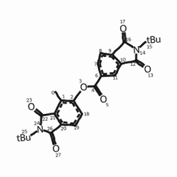 Cc1c(OC(=O)c2ccc3c(c2)C(=O)N(C(C)(C)C)C3=O)ccc2c1C(=O)N(C(C)(C)C)C2=O